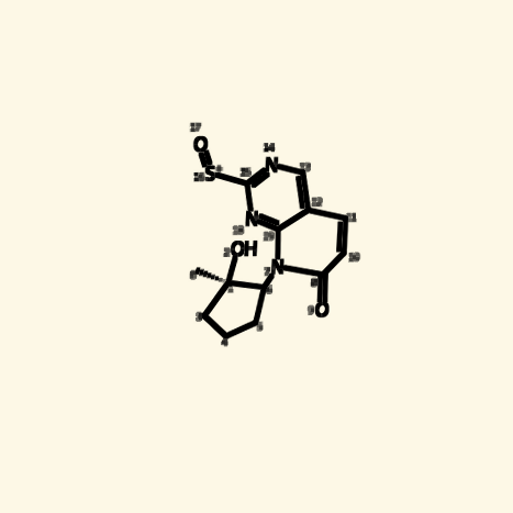 C[C@@]1(O)CCCC1n1c(=O)ccc2cnc([S+]=O)nc21